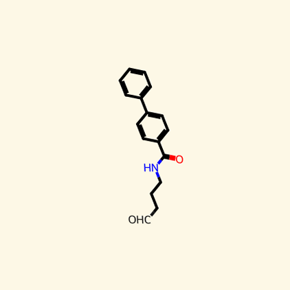 O=CCCCNC(=O)c1ccc(-c2ccccc2)cc1